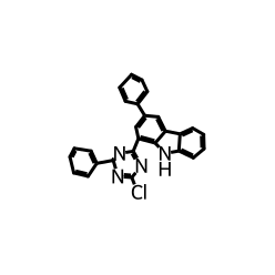 Clc1nc(-c2ccccc2)nc(-c2cc(-c3ccccc3)cc3c2[nH]c2ccccc23)n1